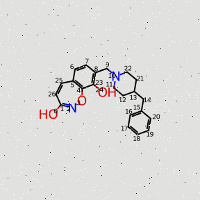 OC1=NOc2c(ccc(CN3CCC(Cc4ccccc4)CC3)c2O)C=C1